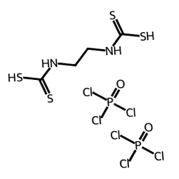 O=P(Cl)(Cl)Cl.O=P(Cl)(Cl)Cl.S=C(S)NCCNC(=S)S